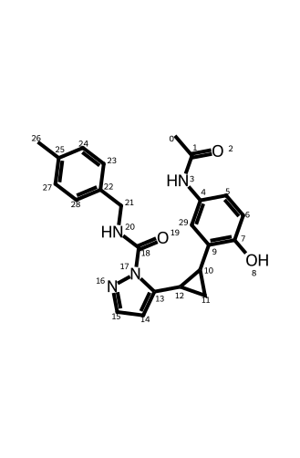 CC(=O)Nc1ccc(O)c(C2CC2c2ccnn2C(=O)NCc2ccc(C)cc2)c1